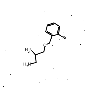 NCC(N)COCc1ccccc1Br